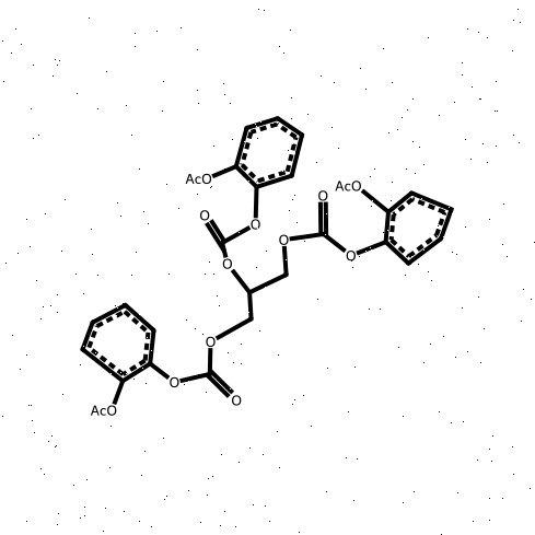 CC(=O)Oc1ccccc1OC(=O)OCC(COC(=O)Oc1ccccc1OC(C)=O)OC(=O)Oc1ccccc1OC(C)=O